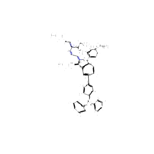 C=C\C=C(/C=C\C=c1/c(=C)c2cc(-c3ccc(N(c4ccccc4)c4ccccc4)cc3)ccc2n1C1=CCC(OC(C)C)C=C1)C(CC(C)(C)C)C(C)(C)C